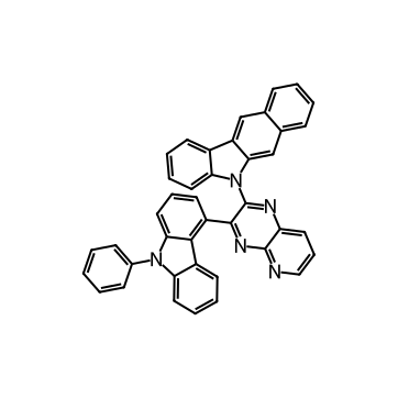 c1ccc(-n2c3ccccc3c3c(-c4nc5ncccc5nc4-n4c5ccccc5c5cc6ccccc6cc54)cccc32)cc1